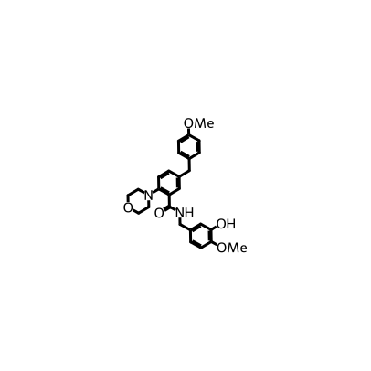 COc1ccc(Cc2ccc(N3CCOCC3)c(C(=O)NCc3ccc(OC)c(O)c3)c2)cc1